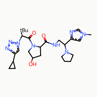 Cn1cnc(C(CNC(=O)C2CC(O)CN2C(=O)[C@@H](n2cc(C3CC3)nn2)C(C)(C)C)N2CCCC2)c1